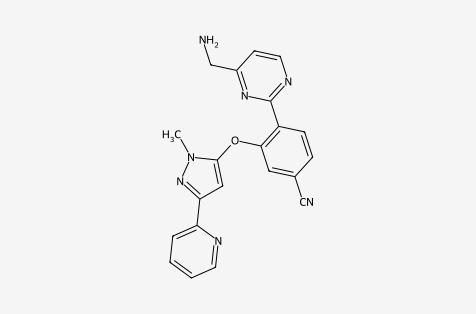 Cn1nc(-c2ccccn2)cc1Oc1cc(C#N)ccc1-c1nccc(CN)n1